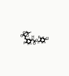 CC(C)OC(Cc1cc(NC(=O)OCc2ccc(Cl)cc2F)ccc1F)C(=O)O